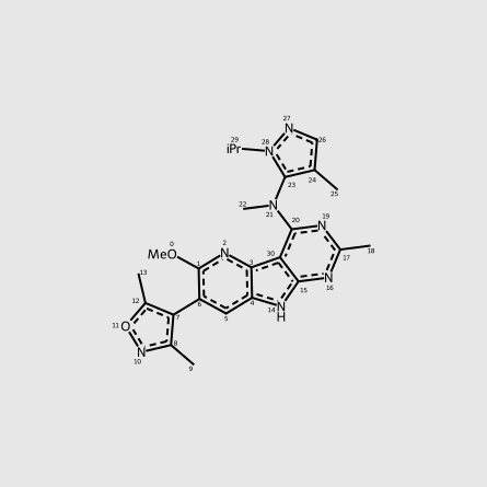 COc1nc2c(cc1-c1c(C)noc1C)[nH]c1nc(C)nc(N(C)c3c(C)cnn3C(C)C)c12